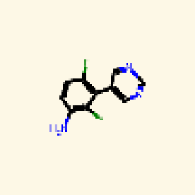 Nc1ccc(F)c(-c2cncnc2)c1F